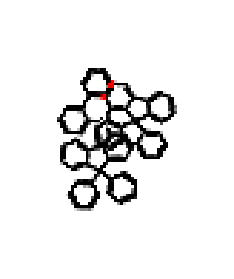 c1ccc(-c2ccccc2N(c2cccc3c2-c2ccccc2C3(c2ccccc2)c2ccccc2)c2cccc3c2C2(c4ccccc4-c4ccccc42)c2ccccc2-3)cc1